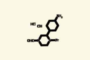 CC(C)N1CCN(C=O)CC1C1CCC(N)CC1.Cl.Cl